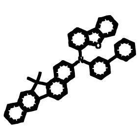 CC1(C)c2cc3ccccc3cc2-c2ccc3cc(N(c4cccc(-c5ccccc5)c4)c4cccc5c4oc4ccccc45)ccc3c21